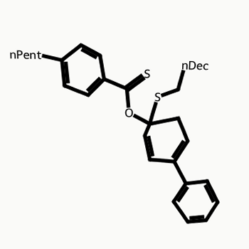 CCCCCCCCCCCSC1(OC(=S)c2ccc(CCCCC)cc2)C=CC(c2ccccc2)=CC1